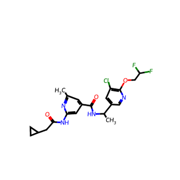 Cc1cc(C(=O)NC(C)c2cnc(OCC(F)F)c(Cl)c2)cc(NC(=O)CC2CC2)n1